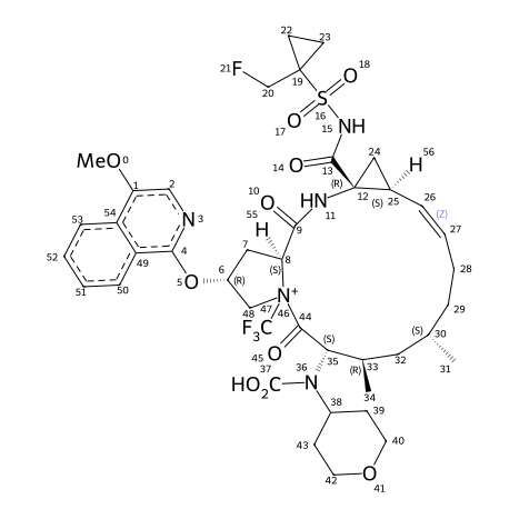 COc1cnc(O[C@@H]2C[C@H]3C(=O)N[C@]4(C(=O)NS(=O)(=O)C5(CF)CC5)C[C@H]4/C=C\CC[C@H](C)C[C@@H](C)[C@H](N(C(=O)O)C4CCOCC4)C(=O)[N+]3(C(F)(F)F)C2)c2ccccc12